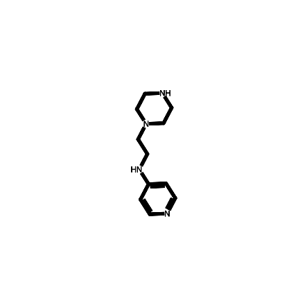 c1cc(NCCN2CCNCC2)ccn1